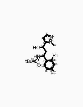 Cn1nccc1C(O)CC(N[S+]([O-])C(C)(C)C)c1ccc(F)cc1F